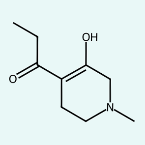 CCC(=O)C1=C(O)CN(C)CC1